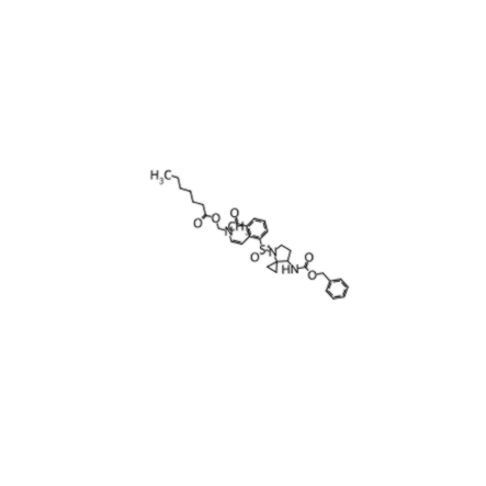 CCCCCCC(=O)OCN(C)/C=C\c1c(C=O)cccc1[S+]([O-])N1CCC(NC(=O)OCc2ccccc2)C12CC2